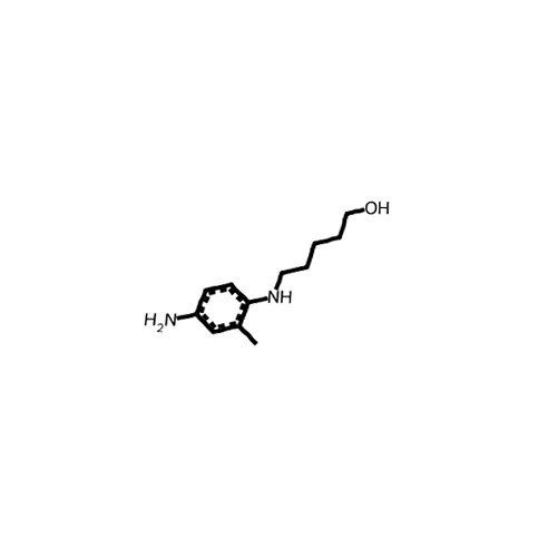 Cc1cc(N)ccc1NCCCCCO